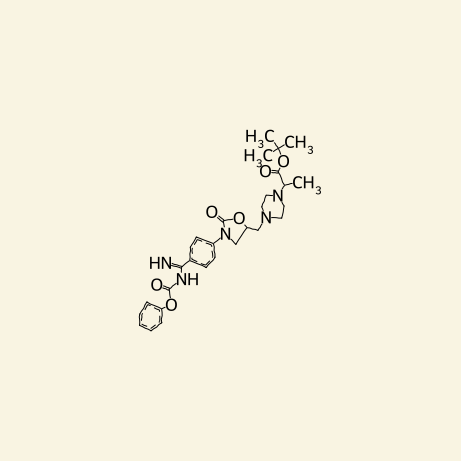 CC(C(=O)OC(C)(C)C)N1CCN(CC2CN(c3ccc(C(=N)NC(=O)Oc4ccccc4)cc3)C(=O)O2)CC1